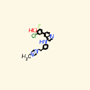 CN1CCN(CCc2cccc(Nc3[c]cnc4ccc(-c5cc(F)c(O)c(Cl)c5)cc34)c2)CC1